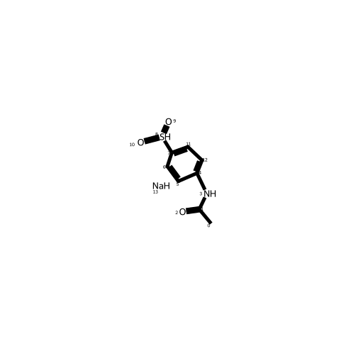 CC(=O)Nc1ccc([SH](=O)=O)cc1.[NaH]